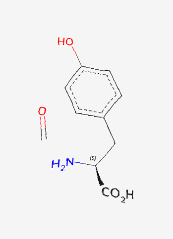 C=O.N[C@@H](Cc1ccc(O)cc1)C(=O)O